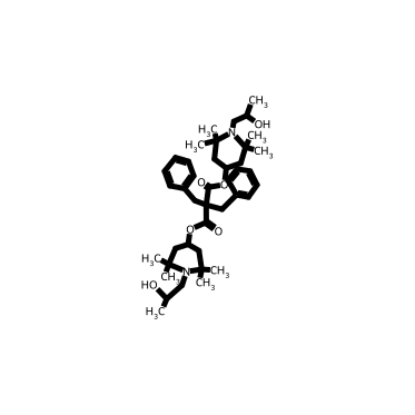 CC(O)CN1C(C)(C)CC(OC(=O)C(Cc2ccccc2)(Cc2ccccc2)C(=O)OC2CC(C)(C)N(CC(C)O)C(C)(C)C2)CC1(C)C